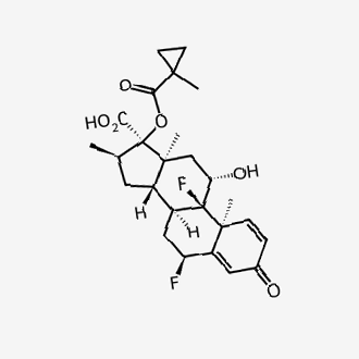 C[C@@H]1C[C@H]2[C@@H]3C[C@H](F)C4=CC(=O)C=C[C@]4(C)[C@@]3(F)[C@@H](O)C[C@]2(C)[C@@]1(OC(=O)C1(C)CC1)C(=O)O